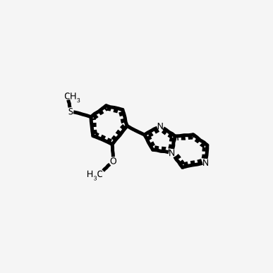 COc1cc(SC)ccc1-c1cn2cnccc2n1